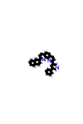 c1ccc(-c2cncc(-c3ccc4ccc5ccc(-c6ccc7ccccc7c6)nc5c4n3)c2)cc1